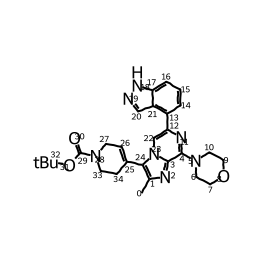 Cc1nc2c(N3CCOCC3)nc(-c3cccc4[nH]ncc34)cn2c1C1=CCN(C(=O)OC(C)(C)C)CC1